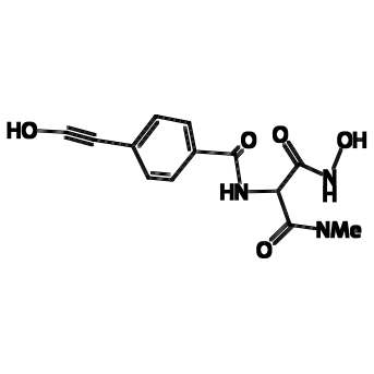 CNC(=O)C(NC(=O)c1ccc(C#CO)cc1)C(=O)NO